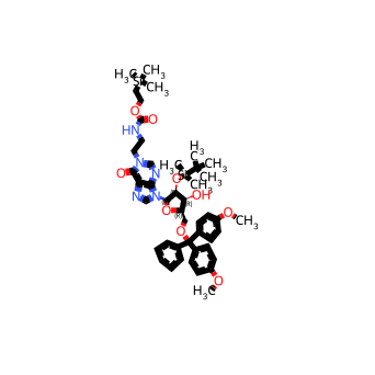 COc1ccc(C(OC[C@H]2O[C@@H](n3cnc4c(=O)n(CCNC(=O)OCC[Si](C)(C)C)cnc43)[C@H](O[Si](C)(C)C(C)(C)C)[C@@H]2O)(c2ccccc2)c2ccc(OC)cc2)cc1